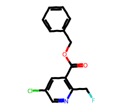 O=C(OCc1ccccc1)c1cc(Cl)cnc1CF